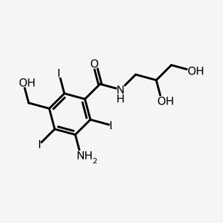 Nc1c(I)c(CO)c(I)c(C(=O)NCC(O)CO)c1I